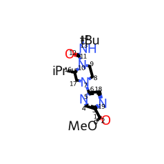 COC(=O)c1cnc(N2CCN(C(=O)NC(C)(C)C)C(C(C)C)C2)cn1